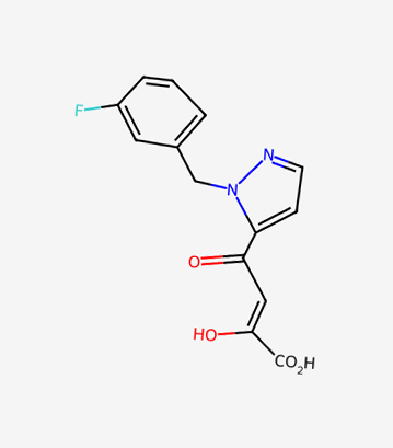 O=C(O)C(O)=CC(=O)c1ccnn1Cc1cccc(F)c1